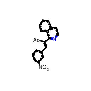 CC(=O)/C(=C\c1cccc([N+](=O)[O-])c1)c1nccc2ccccc12